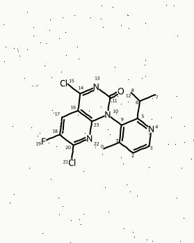 Cc1ccnc(C(C)C)c1-n1c(=O)nc(Cl)c2cc(F)c(Cl)nc21